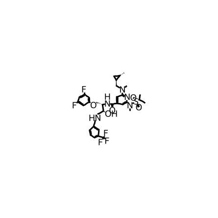 CC(C)S(=O)(=O)N(C)c1cc(C(=O)N[C@@H](COc2cc(F)cc(F)c2)[C@H](O)CNCc2cccc(C(F)(F)F)c2)cc(N(C)C[C@H]2C[C@@H]2C)n1